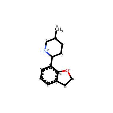 CC1CCC(c2cccc3c2OCC3)NC1